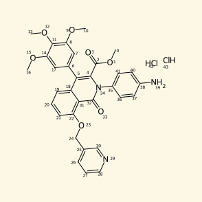 COC(=O)c1c(-c2cc(OC)c(OC)c(OC)c2)c2cccc(OCc3cccnc3)c2c(=O)n1-c1ccc(N)cc1.Cl.Cl